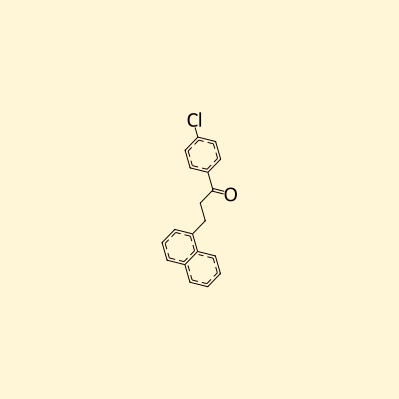 O=C(CCc1cccc2ccccc12)c1ccc(Cl)cc1